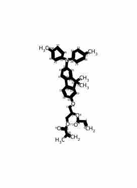 C=CC(=O)OC(COC(=O)C(=C)C)COc1ccc2c(c1)C(C)(C)c1cc(N(c3ccc(C)cc3)c3ccc(C)cc3)ccc1-2